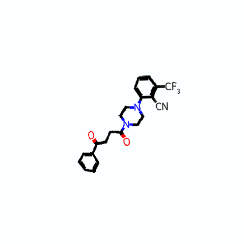 N#Cc1c(N2CCN(C(=O)CCC(=O)c3ccccc3)CC2)cccc1C(F)(F)F